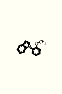 FC(F)(F)Oc1ccccc1-n1ccc2c[c]ccc21